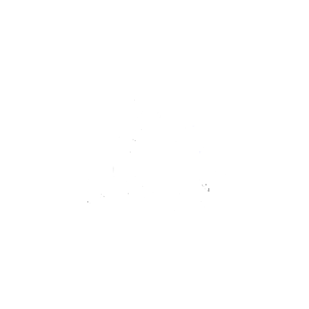 CC(=O)N(C)C(C)C(=O)OC1CC(=O)N(C)c2cc(cc(C)c2Cl)C/C(C)=C/C=C/C(C)C2(O)CC(OC(=O)N2)C(C)C2OC12C